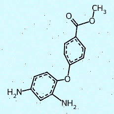 COC(=O)c1ccc(Oc2ccc(N)cc2N)cc1